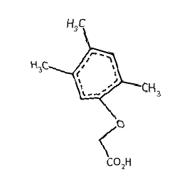 Cc1cc(C)c(OCC(=O)O)cc1C